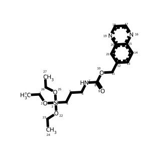 CCO[Si](CCCNC(=O)OCc1ccc2nccnc2c1)(OCC)OCC